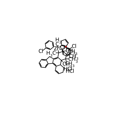 Cl.Cl.[CH2]=[Zr]([C]1=CC=CC1)([c]1cccc(Cl)c1)([c]1cccc(Cl)c1)[C]1(C)C2=C3Cc4ccccc4C3=C3C=CCCC3C2(C)C(C)(C)C(C)(C)C1(C)C